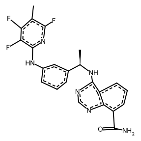 Cc1c(F)nc(Nc2cccc([C@@H](C)Nc3ncnc4c(C(N)=O)cccc34)c2)c(F)c1F